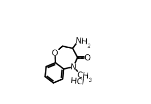 CN1C(=O)C(N)COc2ccccc21.Cl